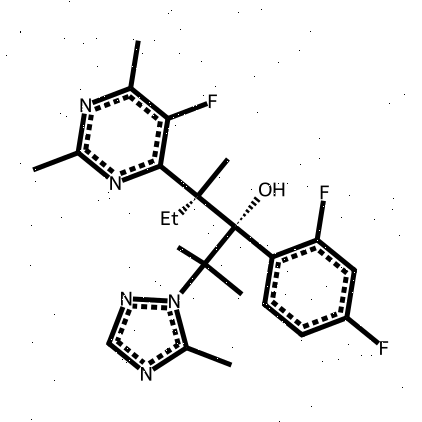 CC[C@@](C)(c1nc(C)nc(C)c1F)[C@@](O)(c1ccc(F)cc1F)C(C)(C)n1ncnc1C